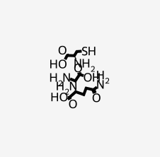 NC(=O)CC[C@H](N)C(=O)O.NCC(=O)O.N[C@@H](CS)C(=O)O